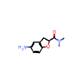 CN(C)C(=O)C1Cc2cc(N)ccc2O1